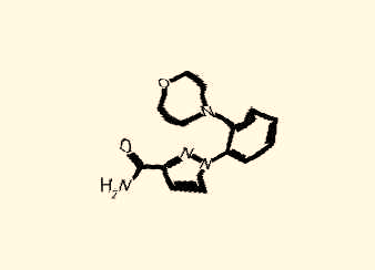 NC(=O)c1ccn(-c2ccccc2N2CCOCC2)n1